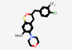 COc1cc2c(cc1N1CCOCC1)CC(Cc1ccc(Cl)c(C(F)(F)F)c1)OS2